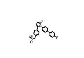 O=[SH](=O)Cc1ccc(-c2ccc(F)n2-c2ccc(-c3ccc(F)cc3)cc2)cc1